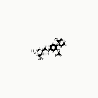 CC(C)C(=O)N[C@H](CN)C(=O)Nc1ccc(N2CCOCC2=O)c(OC(F)F)c1